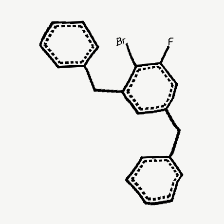 Fc1cc(Cc2ccccc2)cc(Cc2ccccc2)c1Br